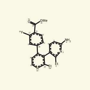 CCc1nc(N)ccc1-c1c(-c2ccc(C(=O)OC)c(F)c2)ccnc1CC